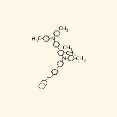 Cc1ccc(N(c2ccc(C)cc2)c2ccc(-c3ccc(N(c4ccc(C)cc4)c4ccc(-c5ccc(CCC6CC7CCCC(C7)C6)cc5)cc4)c(C)c3C)cc2)cc1